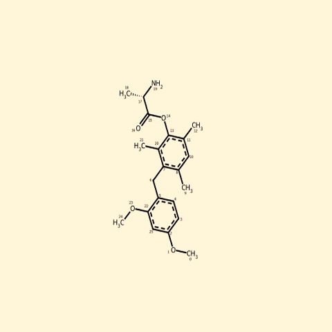 COc1ccc(Cc2c(C)cc(C)c(OC(=O)[C@H](C)N)c2C)c(OC)c1